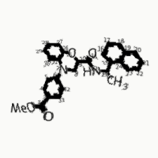 COC(=O)c1ccc(N2CC(C(=O)N[C@H](C)c3cccc4ccccc34)Oc3ccccc32)cc1